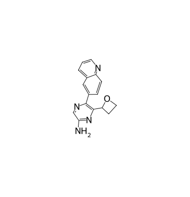 Nc1cnc(-c2ccc3ncccc3c2)c(C2CCO2)n1